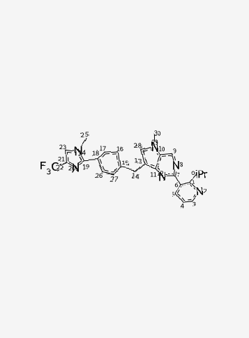 CC(C)c1ncccc1-c1ncc2c(n1)c(Cc1ccc(-c3nc(C(F)(F)F)cn3C)cc1)cn2C